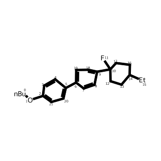 CCCCOc1ccc(-c2ccc(C3(F)CCC(CC)CC3)cc2)cc1